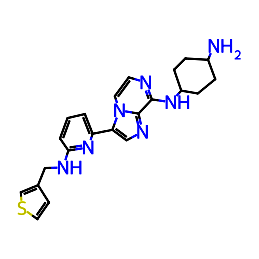 NC1CCC(Nc2nccn3c(-c4cccc(NCc5ccsc5)n4)cnc23)CC1